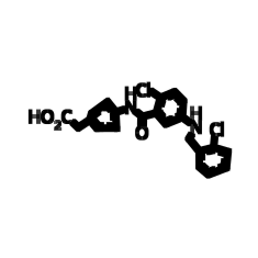 O=C(O)Cc1ccc(NC(=O)c2cc(NCc3ccccc3Cl)ccc2Cl)cc1